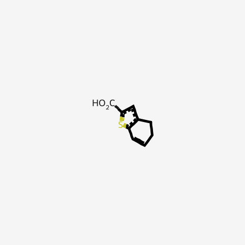 O=C(O)c1cc2c(s1)C=CCC2